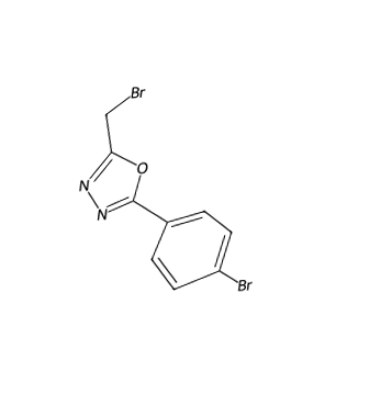 BrCc1nnc(-c2ccc(Br)cc2)o1